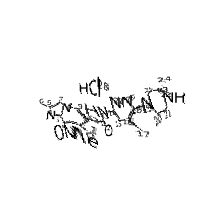 COc1cc2nc(C)cn2cc1C(=O)Nc1cc(C)c(N2CCN[C@@H](C)C2)nn1.Cl